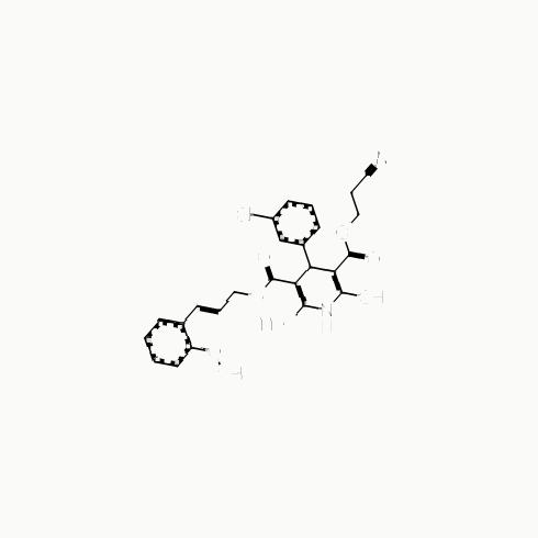 COc1ccccc1/C=C/COC(=O)C1=C(C)NC(C)=C(C(=O)OCCC#N)C1c1cccc(Cl)c1